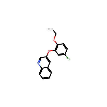 O=C(O)COc1ccc(Cl)cc1Oc1cnc2ccccc2c1